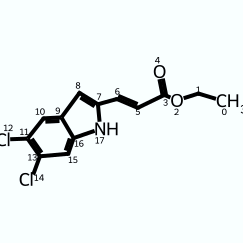 CCOC(=O)C=Cc1cc2cc(Cl)c(Cl)cc2[nH]1